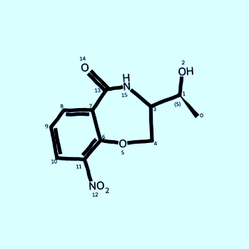 C[C@H](O)C1COc2c(cccc2[N+](=O)[O-])C(=O)N1